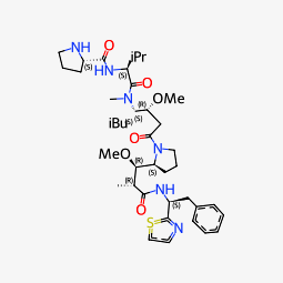 CC[C@H](C)[C@@H]([C@@H](CC(=O)N1CCC[C@H]1[C@H](OC)[C@@H](C)C(=O)N[C@@H](Cc1ccccc1)c1nccs1)OC)N(C)C(=O)[C@@H](NC(=O)[C@@H]1CCCN1)C(C)C